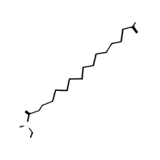 CCC(=O)CCCCCCCCCCCCCCC(=O)N(C)CC(C)C